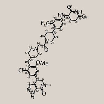 COc1cc(-c2cn(C)c(=O)c3[nH]ncc23)cc(Cl)c1CC1CCN(CC(=O)N2CCC(c3ccc(NC4CCC(=O)NC4=O)cc3C(F)(F)F)CC2)CC1